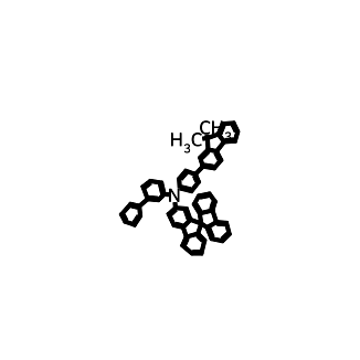 CC1(C)c2ccccc2-c2ccc(-c3ccc(N(c4cccc(-c5ccccc5)c4)c4ccc5c(c4)C4(c6ccccc6-c6ccccc64)c4ccccc4-5)cc3)cc21